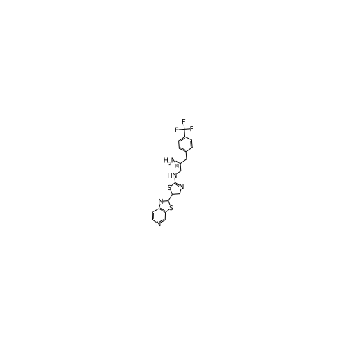 N[C@H](CNC1=NCC(c2nc3ccncc3s2)S1)Cc1ccc(C(F)(F)F)cc1